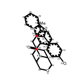 COc1cccc(C(=O)N2C3COCC2CN(Cc2c(-c4ccc(Cl)cc4)nc4ccccn24)C3)n1